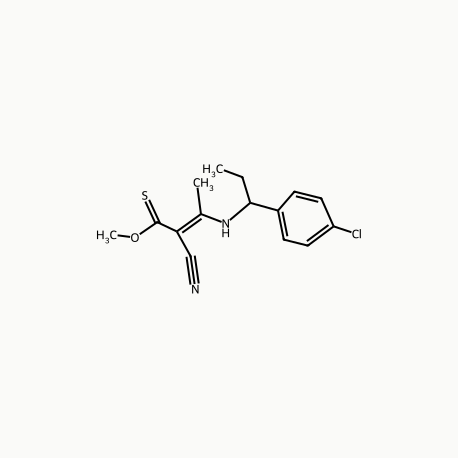 CCC(NC(C)=C(C#N)C(=S)OC)c1ccc(Cl)cc1